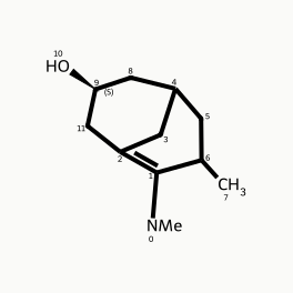 CNC1=C2CC(CC1C)C[C@H](O)C2